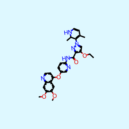 CCOc1cn(C2=C(C)C=CNC2C)nc1C(=O)Nc1ccc(Oc2ccnc3cc(OC)c(OC)cc23)cn1